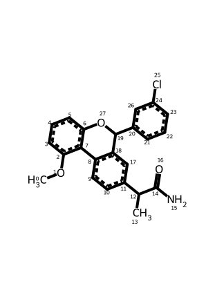 COc1cccc2c1-c1ccc(C(C)C(N)=O)cc1C(c1cccc(Cl)c1)O2